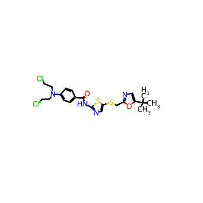 CC(C)(C)c1cnc(CSc2cnc(NC(=O)c3ccc(N(CCCl)CCCl)cc3)s2)o1